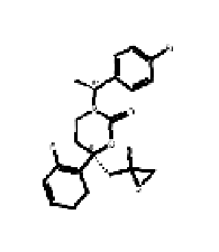 C[C@@H](c1ccc(Br)cc1)N1CC[C@](CC2(C)CO2)(C2=C(F)C=CCC2)OC1=O